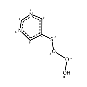 OOOSc1cncnc1